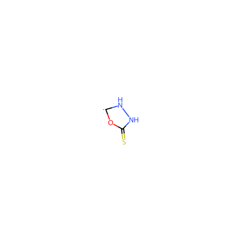 S=C1NN[CH]O1